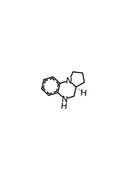 c1ccc2c(c1)NC[C@@H]1CCCN21